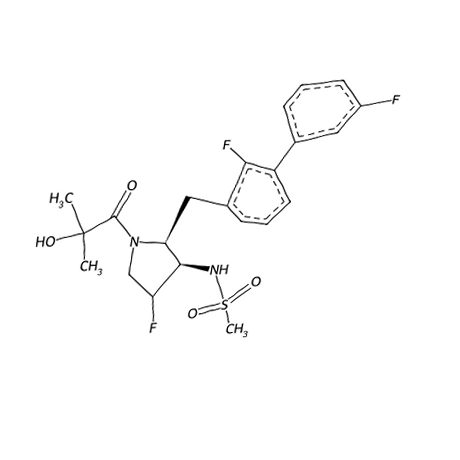 CC(C)(O)C(=O)N1CC(F)[C@H](NS(C)(=O)=O)[C@@H]1Cc1cccc(-c2cccc(F)c2)c1F